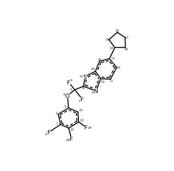 Fc1cc(OC(F)(F)c2nc3ccc(C4CCCC4)cc3s2)cc(F)c1F